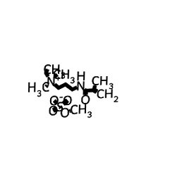 C=C(C)C(=O)NCCC[N+](C)(C)CC.COS(=O)(=O)[O-]